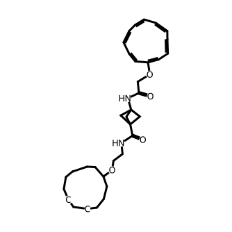 O=C(COC1=C/C=C\C=C/C=C\C=C/C=C\1)NC12CC(C(=O)NCCOC3CCCCCCCCCCC3)(C1)C2